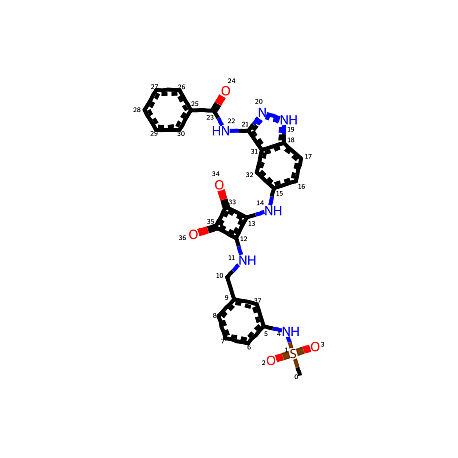 CS(=O)(=O)Nc1cccc(CNc2c(Nc3ccc4[nH]nc(NC(=O)c5ccccc5)c4c3)c(=O)c2=O)c1